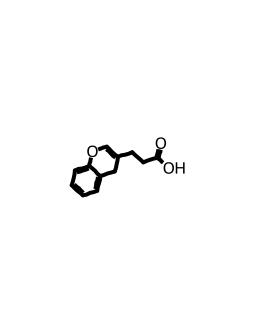 O=C(O)CCC1=COc2ccccc2C1